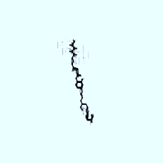 O=C(Cc1c(F)cc(OCCCC2CCN(c3ncc(Cl)cn3)CC2)cc1F)N1CC(CNCC(O)C(O)C(O)C(O)CO)C1